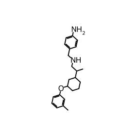 Cc1cccc(OC2CCCC(C(C)CNCc3ccc(N)cc3)C2)c1